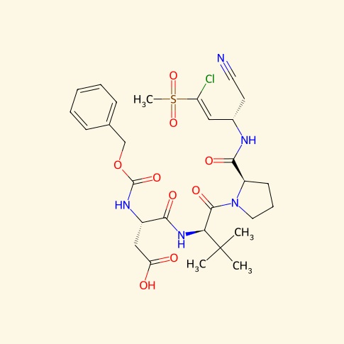 CC(C)(C)[C@@H](NC(=O)[C@H](CC(=O)O)NC(=O)OCc1ccccc1)C(=O)N1CCC[C@@H]1C(=O)N[C@H](/C=C(\Cl)S(C)(=O)=O)CC#N